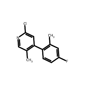 Cc1cc(F)ccc1-c1cc(Cl)ncc1C